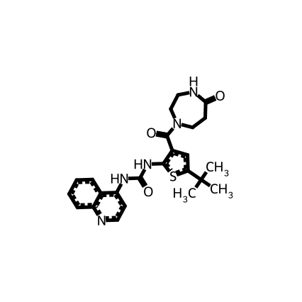 CC(C)(C)c1cc(C(=O)N2CCNC(=O)CC2)c(NC(=O)Nc2ccnc3ccccc23)s1